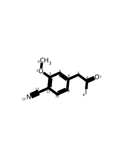 COc1cc(CC(=O)I)ccc1C#N